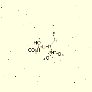 CCC[N+](=O)[O-].O=C(O)O.[LiH]